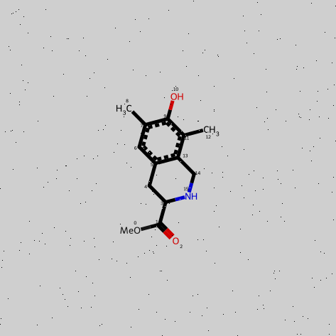 COC(=O)C1Cc2cc(C)c(O)c(C)c2CN1